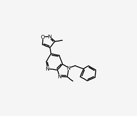 Cc1nocc1-c1cnc2nc(C)n(Cc3ccccc3)c2c1